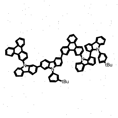 CC(C)(C)c1ccc(-n2c3ccccc3c3cccc(-c4cccc5c6ccccc6n(-c6ccc7c8ccccc8c8ccc(-c9ccc%10c(c9)c9ccc(-c%11ccc%12c%13ccccc%13n(-c%13ccc%14c%15ccccc%15c%15ccccc%15c%14c%13)c%12c%11)cc9n%10-c9cccc(C(C)(C)C)c9)cc8c7c6)c45)c32)cc1